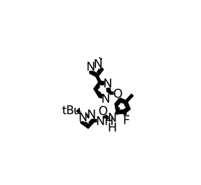 Cc1cc(F)c(NC(=O)Nc2ccn(C(C)(C)C)n2)cc1Oc1nccc(-c2cnn(C)c2)n1